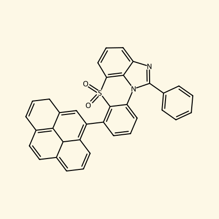 O=S1(=O)c2c(C3=C4C=CC=C5C=CC6=C(C(=C3)CC=C6)C54)cccc2-n2c(-c3ccccc3)nc3cccc1c32